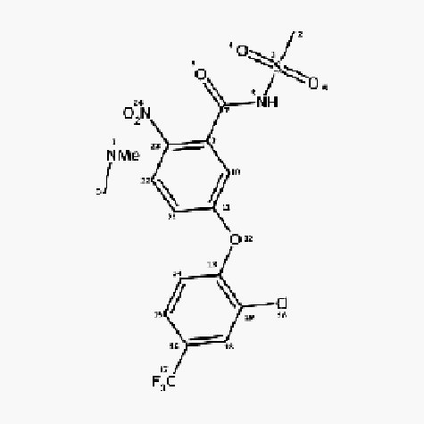 CNC.CS(=O)(=O)NC(=O)c1cc(Oc2ccc(C(F)(F)F)cc2Cl)ccc1[N+](=O)[O-]